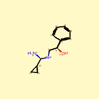 N[C@@H](NC[C@H](O)c1ccccc1)C1CC1